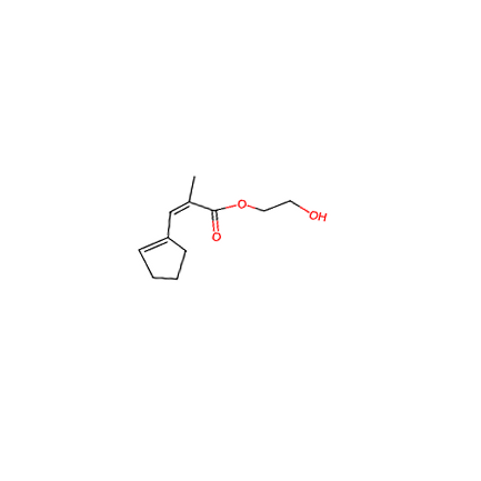 CC(=CC1=CCCC1)C(=O)OCCO